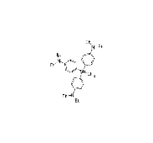 CCN(CC)c1cc[c]([Sn]([CH3])([c]2ccc(N(CC)CC)cc2)[c]2ccc(N(CC)CC)cc2)cc1